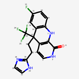 O=c1[nH]ccc2c1Nc1ccc(F)cc1C2(CCc1ncc[nH]1)C(F)(F)F